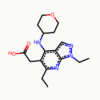 CCc1nc2c(cnn2CC)c(NC2CCOCC2)c1CC(=O)O